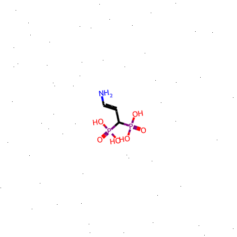 NC=CC(P(=O)(O)O)P(=O)(O)O